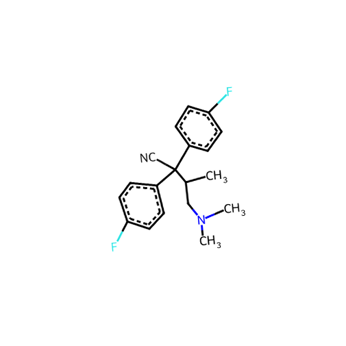 CC(CN(C)C)C(C#N)(c1ccc(F)cc1)c1ccc(F)cc1